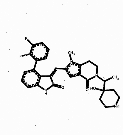 CC(N1CCc2c(cc(C=C3C(=O)Nc4cccc(-c5cccc(F)c5F)c43)n2C)C1=O)C1(O)CCNCC1